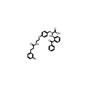 O=C(CCc1cccc(F)c1)NCCOc1ccc(C[C@H](Nc2ccccc2C(=O)c2ccccc2)C(=O)O)cc1